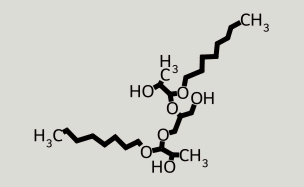 CCCCCCCCOC(OCC(CO)OC(OCCCCCCCC)C(C)O)C(C)O